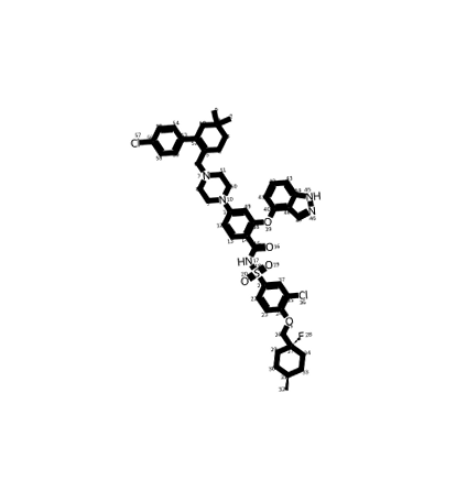 CC1(C)CCC(CN2CCN(c3ccc(C(=O)NS(=O)(=O)c4ccc(OC[C@]5(F)CC[C@H](C)CC5)c(Cl)c4)c(Oc4cccc5[nH]ncc45)c3)CC2)=C(c2ccc(Cl)cc2)C1